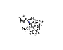 C=C(Nc1ccc(F)c(Cl)c1)c1cc(OCC)c(OC)cc1/N=C(\C)c1cccnc1